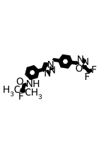 CC(C)(F)C(=O)Nc1cccc(-c2cn(Cc3ccc(-c4nnc(C(F)F)o4)cc3)nn2)c1